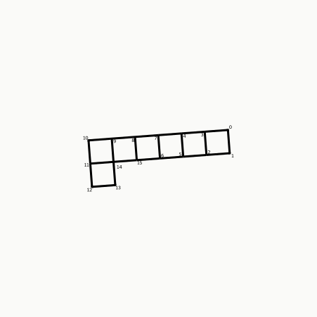 C1CC2C1C1C2C2C1C1C3CC4CCC43C21